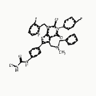 CCNC(=O)Nc1ccc(-c2sc3c(c2CN(C)Cc2ccccc2)c(=O)n(-c2ccc(F)cc2)c(=O)n3Cc2c(F)cccc2F)cc1